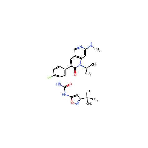 CNc1cc2c(cn1)cc(-c1ccc(F)c(NC(=O)Nc3cc(C(C)(C)C)no3)c1)c(=O)n2C(C)C